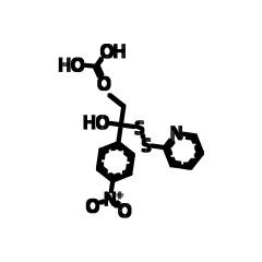 CCC(O)(SSc1ccccn1)c1ccc([N+](=O)[O-])cc1.O=C(O)O